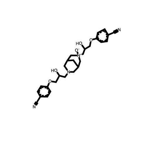 N#Cc1ccc(OCC(O)CN2CC3CC(C2)C[N+]([O-])(CC(O)COc2ccc(C#N)cc2)C3)cc1